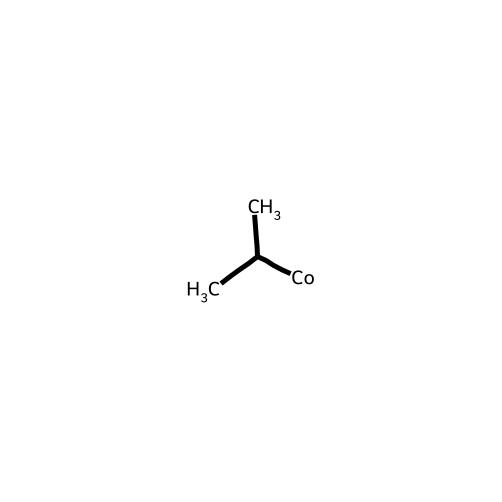 C[CH](C)[Co]